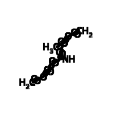 C=CC(=O)OCCCOc1ccc(OC(=O)C(CCC)CCCC(=O)Oc2ccc(CCOC(=O)C3CCC(C(=O)Oc4ccc(OCCCOC(=O)C=C)cc4)CC3)cc2C=N)cc1